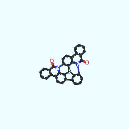 O=c1c2ccccc2c2ccc3c4c2n1-c1ccc2c5ccccc5c(=O)n5c2c1B4c1c-3cccc1-5